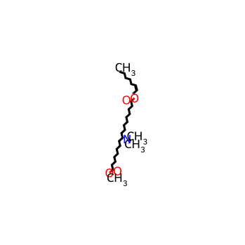 CCCCCC/C=C\COC(=O)CCCCCCCCC(CCCCCCCC(=O)OC)N(C)C